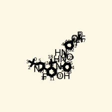 CC(C)(C)c1ccc(-c2c(F)cc(O)c3c2C(C)(C)CN3c2ccccc2NC(=O)Nc2ccc(OC(F)(F)F)cc2)cn1